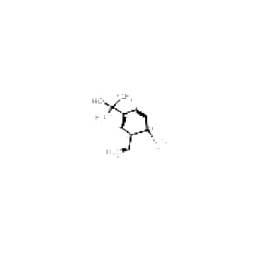 C=CC1C=C(C(O)(C(F)(F)F)C(F)(F)F)C=CC1C